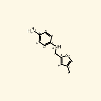 Cc1csc(CNc2ccc(N)cc2)c1